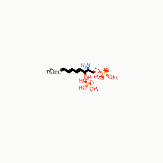 CCCCCCCCCCCCCC=CC(O)C(N)COP(=O)(O)O.O=P(O)(O)O